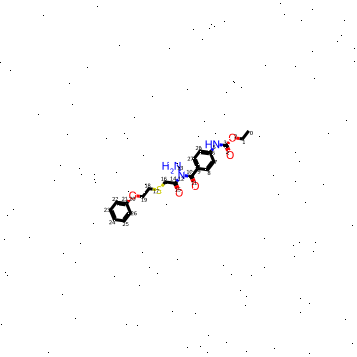 CCOC(=O)Nc1ccc(C(=O)N(N)C(=O)CSCCOc2ccccc2)cc1